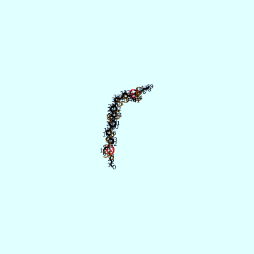 CCCCSC(=S)OC(CC)c1ccc(-c2ccc(-c3ccc4c(c3)sc3c5ccc(-c6ccc(-c7ccc(C(CC)OC(=S)SCCCC)s7)s6)cc5sc43)s2)s1